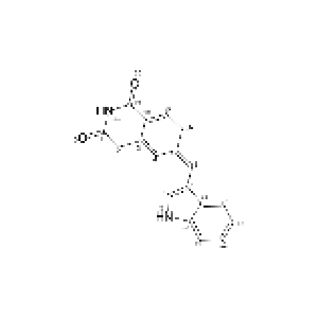 O=C1CC2=CC(=Cc3c[nH]c4ccccc34)CC=C2C(=O)N1